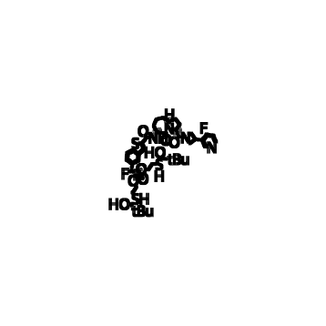 CC(C)(C)C(O)=[SH]CCOP(=O)(OCC[SH]=C(O)C(C)(C)C)C(F)c1ccc2sc(C(=O)N[C@H]3CCC[C@H]4CC[C@@H](C(=O)N5CC(c6cnccc6F)C5)N4C3=O)cc2c1